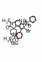 C[C@@H]1CC2CC3(CC1N2C(=O)OC(C)(C)C)C(=O)N(C)c1cnc2c(c(-c4ccccc4)c(Br)n2S(=O)(=O)c2ccccc2)c13